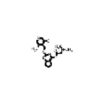 Cc1cncc(Cl)c1CSc1nc2c(c(OC(=O)CN(C)C)n1)CCC2